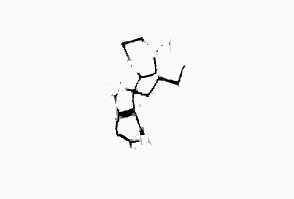 CCCCC1(C2CNCCS2)NNc2cc(Cl)ncc21